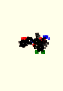 COC(CN1CCC(O)(c2ccccc2)CC1)C(c1ccc(Cl)c(Cl)c1)C(OC(N)=O)(C(C)C)C(C)C